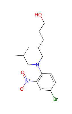 CC(C)CN(CCCCCO)c1ccc(Br)cc1[N+](=O)[O-]